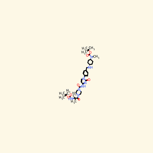 CN(C(=O)OC(C)(C)C)[C@H]1CC[C@H](NCc2ccc(-n3ccc(NC(=O)N4CCN(C(=O)C(C)(C)NC(=O)OC(C)(C)C)CC4)nc3=O)cc2)CC1